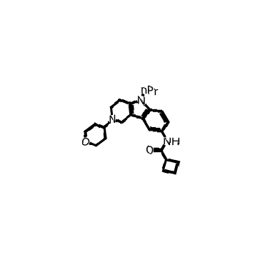 CCCn1c2c(c3cc(NC(=O)C4CCC4)ccc31)CN(C1CCOCC1)CC2